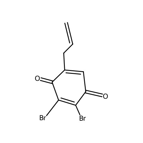 C=CCC1=CC(=O)C(Br)=C(Br)C1=O